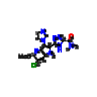 COc1nc2c(-n3ccnc3)c(-c3nnc(C(=O)N(C)C)[nH]3)n(C)c2cc1Cl